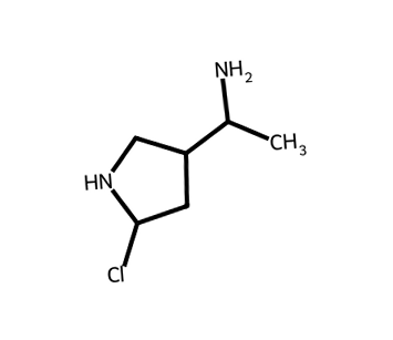 CC(N)C1CNC(Cl)C1